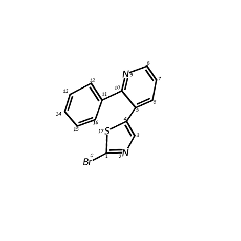 Brc1ncc(-c2cccnc2-c2ccccc2)s1